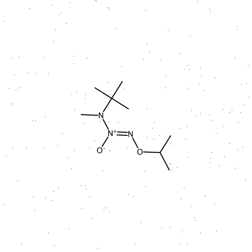 CC(C)ON=[N+]([O-])N(C)C(C)(C)C